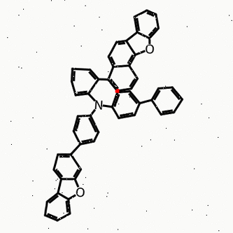 c1ccc(-c2ccc(N(c3ccc(-c4ccc5c(c4)oc4ccccc45)cc3)c3ccccc3-c3cccc4c3ccc3c5ccccc5oc43)cc2)cc1